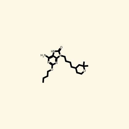 CCCCOc1nc(N)c2[nH]c(=O)n(CCCCC3CCOC(C)(C)C3)c2n1